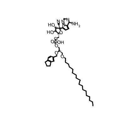 CCCCCCCCCCCCCCCCCCOC[C@H](COP(=O)(O)OC[C@H]1O[C@@](C#N)(c2ccc3c(N)ncnn23)[C@H](O)[C@@H]1O)OCc1ccc2c(c1)CCC2